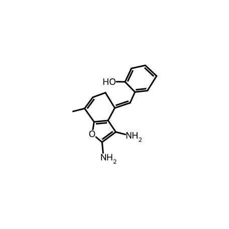 CC1=CCC(=Cc2ccccc2O)c2c1oc(N)c2N